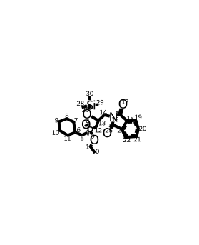 CCOP(=O)(CC1CCCCC1)CC(CN1C(=O)c2ccccc2C1=O)O[Si](C)(C)C